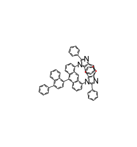 c1ccc(-c2ccc(-c3c4cccc(-n5c(-c6ccccc6)nc6ccccc65)c4cc4c(-n5c(-c6ccccc6)nc6ccccc65)cccc34)c3ccccc23)cc1